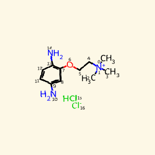 C[N+](C)(C)CCOc1cc(N)ccc1N.Cl.[Cl-]